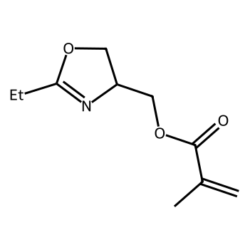 C=C(C)C(=O)OCC1COC(CC)=N1